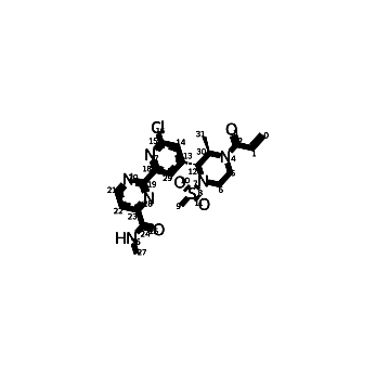 C=CC(=O)N1CCN(S(C)(=O)=O)[C@H](c2cc(Cl)nc(-c3nccc(C(=O)NC)n3)c2)[C@H]1C